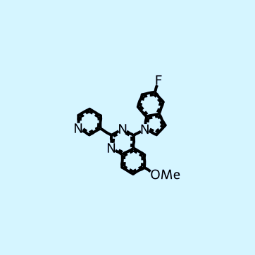 COc1ccc2nc(-c3cccnc3)nc(-n3ccc4cc(F)ccc43)c2c1